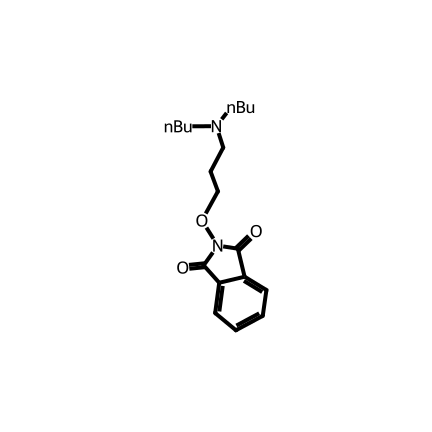 CCCCN(CCCC)CCCON1C(=O)c2ccccc2C1=O